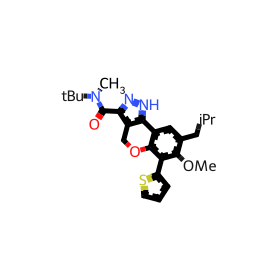 COc1c(CC(C)C)cc2c(c1-c1cccs1)OCc1c(C(=O)N(C)C(C)(C)C)n[nH]c1-2